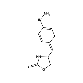 NNC1=CCC(=CC2COC(=O)N2)C=C1